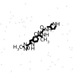 Cc1noc(-c2cc3c([nH]2)=CCC(C)(c2nc(C(=O)NCC4=CC=CNC4)[nH]c2C)C=3)n1